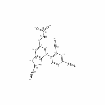 N#Cc1ccc(-c2cc(CN[SH](=O)=O)cc3c2CN(C#N)C3)c(C#N)c1